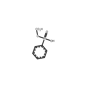 O=C(O)OP(=O)(O)c1ccccc1